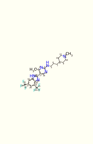 Cc1nc(NCCCC2CCN(C)CC2)ncc1-c1nc2c(C(F)(F)F)cc(C(F)(F)F)cc2[nH]1